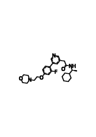 C[C@H](NC(=O)Cc1cncc(-c2ccc(OCCN3CCOCC3)cc2F)c1)C1CCCCC1